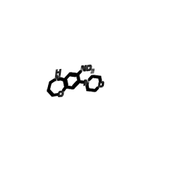 O=[N+]([O-])c1cc2c(cc1N1CCOCC1)OCCCN2